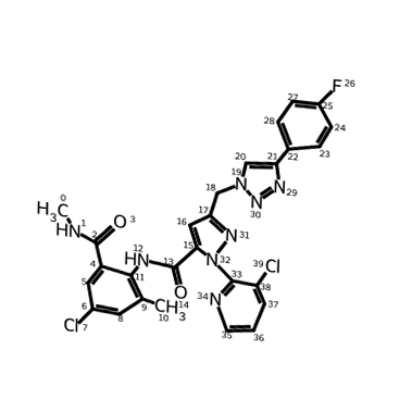 CNC(=O)c1cc(Cl)cc(C)c1NC(=O)c1cc(Cn2cc(-c3ccc(F)cc3)nn2)nn1-c1ncccc1Cl